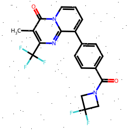 Cc1c(C(F)(F)F)nc2c(-c3ccc(C(=O)N4CC(F)(F)C4)cc3)cccn2c1=O